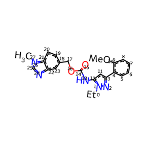 CCn1nc(-c2ccccc2OC)cc1NC(=O)OCc1ccc2c(c1)ncn2C